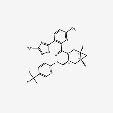 Cc1ccc(-c2nc(C)no2)c(C(=O)N2C[C@@H]3C[C@@H]3C[C@H]2COc2ccc(C(F)(F)F)cn2)n1